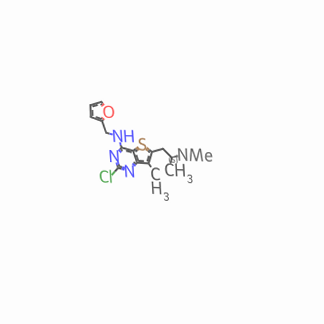 CN[C@@H](C)Cc1sc2c(NCc3ccco3)nc(Cl)nc2c1C